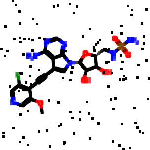 COc1cncc(F)c1C#Cc1cn([C@@H]2O[C@H](CNS(N)(=O)=O)[C@@H](O)[C@H]2O)c2ncnc(N)c12